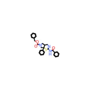 O=C(NC1=NCC2CN(C(=O)OCc3ccccc3)CC2(c2ccccc2)S1)c1ccccc1